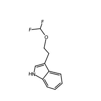 FC(F)OCCc1c[nH]c2ccccc12